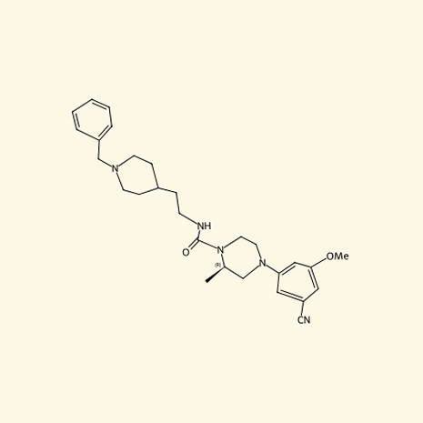 COc1cc(C#N)cc(N2CCN(C(=O)NCCC3CCN(Cc4ccccc4)CC3)[C@H](C)C2)c1